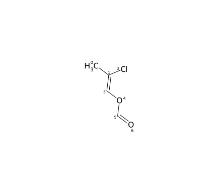 CC(Cl)=COC=O